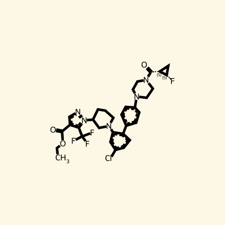 CCOC(=O)c1cnn(C2CCCN(c3cc(Cl)ccc3-c3ccc(N4CCN(C(=O)[C@@H]5C[C@@H]5F)CC4)cc3)C2)c1C(F)(F)F